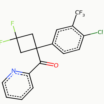 O=C(c1ccccn1)C1(c2ccc(Cl)c(C(F)(F)F)c2)CC(F)(F)C1